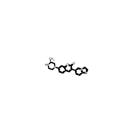 C[C@H]1CN(c2ccc3cc(-c4ccc5nccn5c4)c(=O)oc3c2)CCN1